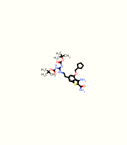 CC(C)(C)OC(=O)N=C(NCCc1cc(OCC2CCCC2)c2c(N)c(C(N)=O)sc2c1)NC(=O)OC(C)(C)C